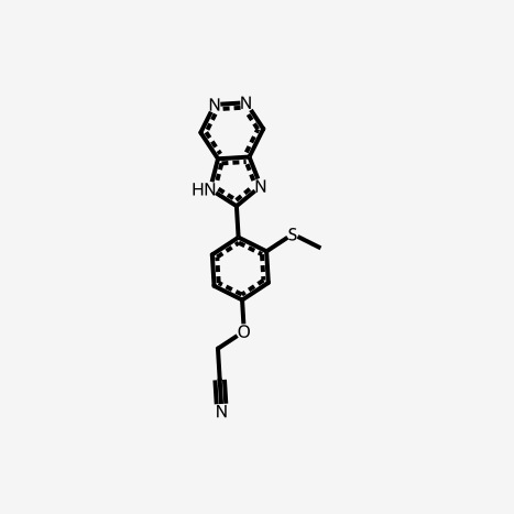 CSc1cc(OCC#N)ccc1-c1nc2cnncc2[nH]1